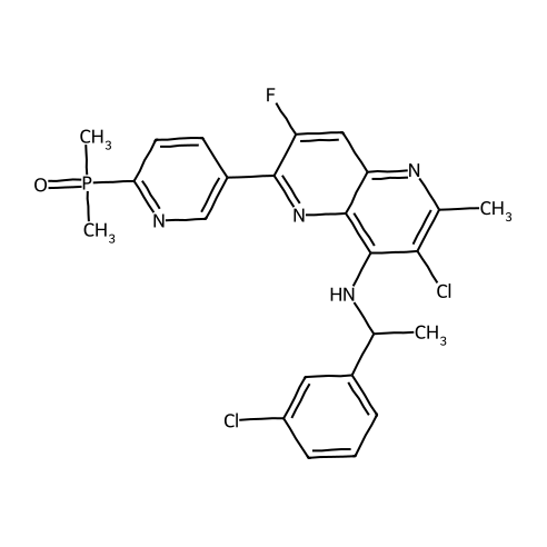 Cc1nc2cc(F)c(-c3ccc(P(C)(C)=O)nc3)nc2c(NC(C)c2cccc(Cl)c2)c1Cl